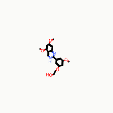 COc1cc(OCCO)cc(C2N=c3cc(OC)cc(OC)c3=CN2)c1